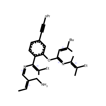 C\C=C(/C=N\C(=C(/C)CC)c1ccc(C#CCCC)cc1OC(/C=C(\C)C(C)CC)=N/C(C)=C(\C)CC)CN